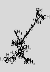 CCCCCCCCN(CCC[C@@H](C)[C@H]1CC[C@H]2C(C(CC)OCCCNC(C)=O)[C@@H](C(C)(C)CC[C@H](CC)OCCCNC(C)=O)C[C@H](OCCCNC(C)=O)[C@]12C)C(=O)NCCOCCOCCOCCOCCNC(=O)CN1CCN(CC(=O)O)CN(CC(=O)O)C1